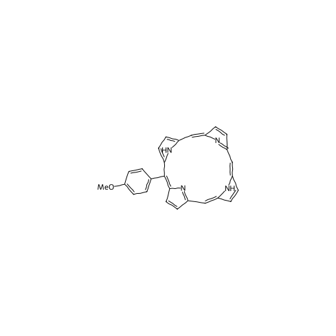 COc1ccc(-c2c3nc(cc4ccc(cc5nc(cc6ccc2[nH]6)C=C5)[nH]4)C=C3)cc1